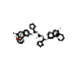 O=C(OC(Oc1ccc2c(c1)[C@@]13CCCC[C@H]1[C@@H](C2)NCC3)C1CCCC1)OC(Oc1ccc2c(c1)[C@@]13CCCC[C@H]1[C@@H](C2)NCC3)C1CCCC1